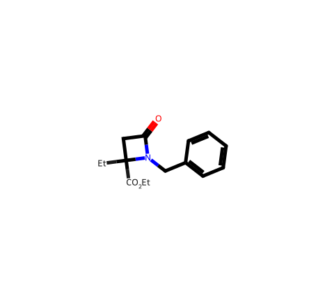 CCOC(=O)C1(CC)CC(=O)N1Cc1ccccc1